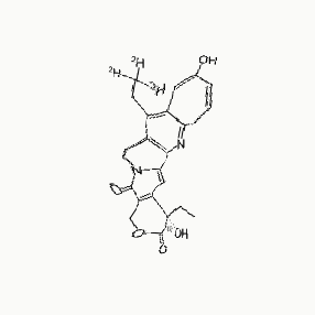 [2H]C([2H])([2H])Cc1c2c(nc3ccc(O)cc13)-c1cc3c(c(=O)n1C2)COC(=O)[C@]3(O)CC